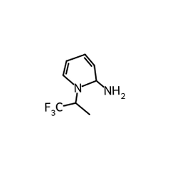 CC(N1C=CC=CC1N)C(F)(F)F